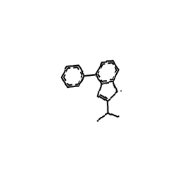 CC(C)C1=Cc2c(cccc2-c2ccccc2)[CH]1